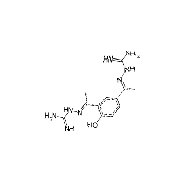 CC(=NNC(=N)N)c1ccc(O)c(C(C)=NNC(=N)N)c1